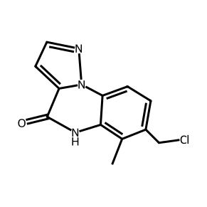 Cc1c(CCl)ccc2c1[nH]c(=O)c1ccnn12